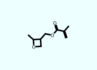 C=C(C)C(=O)OCC1COC1C